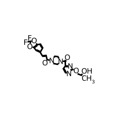 CC(O)COc1nccc(C(=O)N2CCN(C(=O)/C=C/c3ccc4c(c3)OC(F)(F)O4)CC2)n1